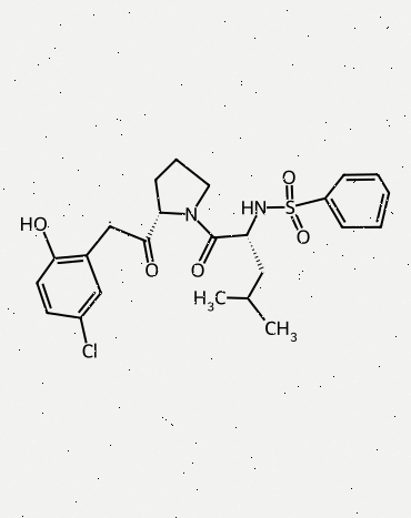 CC(C)C[C@@H](NS(=O)(=O)c1ccccc1)C(=O)N1CCC[C@H]1C(=O)[CH]c1cc(Cl)ccc1O